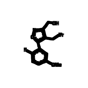 COc1ccc(F)c(-c2onc(CO)c2CC(C)C)c1